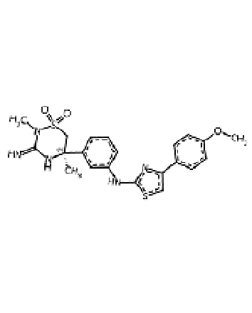 COc1ccc(-c2csc(Nc3cccc([C@]4(C)CS(=O)(=O)N(C)C(=N)N4)c3)n2)cc1